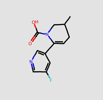 CC1CC=C(c2cncc(F)c2)N(C(=O)O)C1